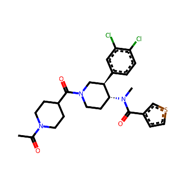 CC(=O)N1CCC(C(=O)N2CC[C@@H](N(C)C(=O)c3ccsc3)[C@H](c3ccc(Cl)c(Cl)c3)C2)CC1